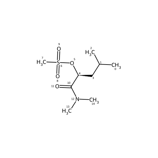 CC(C)C[C@H](OS(C)(=O)=O)C(=O)N(C)C